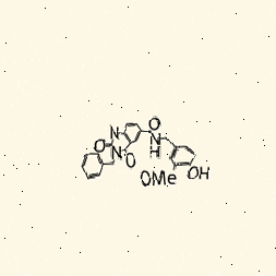 COc1cc(CNC(=O)c2ccc3c(c2)c(=O)n(Cc2ccccc2)c(=O)n3C)ccc1O